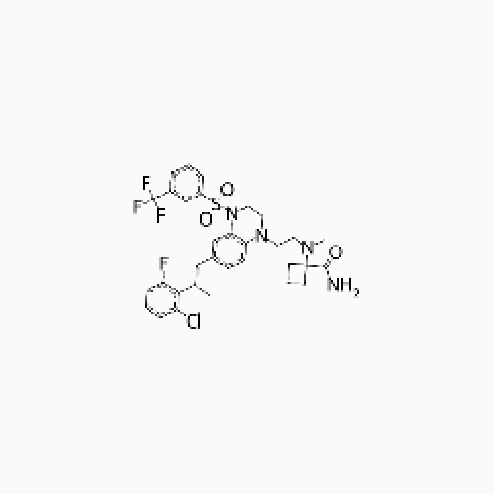 C/C(=C\c1ccc2c(c1)N(S(=O)(=O)c1cccc(C(F)(F)F)c1)CCN2CCN(C)C1(C(N)=O)CCC1)c1c(F)cccc1Cl